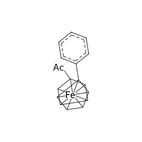 CC(=O)[C]12[CH]3[CH]4[CH]5[CH]1[Fe]45321678[CH]2[CH]1[CH]6[C]7(c1ccccc1)[CH]28